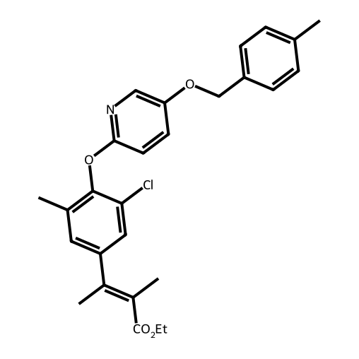 CCOC(=O)C(C)=C(C)c1cc(C)c(Oc2ccc(OCc3ccc(C)cc3)cn2)c(Cl)c1